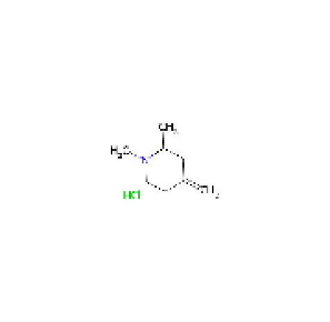 C=C1CCN(C)C(C)C1.Cl